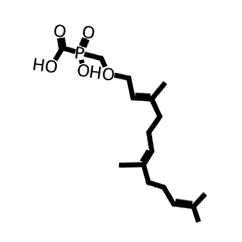 CC(C)=CCCC(C)=CCCC(C)=CCOCP(=O)(O)C(=O)O